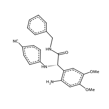 COc1cc(N)c([C@H](Nc2ccc(C#N)cc2)C(=O)NCc2ccccc2)cc1OC